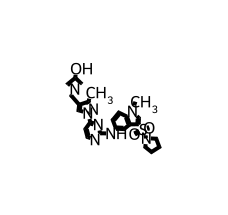 Cc1nn(-c2ccnc(Nc3ccc4c(c3)c(S(=O)(=O)N3CCCC3)cn4C)n2)cc1CN1CC(O)C1